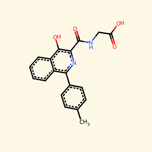 Cc1ccc(-c2nc(C(=O)NCC(=O)O)c(O)c3ccccc23)cc1